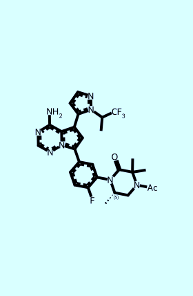 CC(=O)N1C[C@H](C)N(c2cc(-c3cc(-c4ccnn4C(C)C(F)(F)F)c4c(N)ncnn34)ccc2F)C(=O)C1(C)C